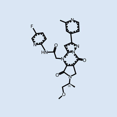 COC[C@H](C)N1Cc2c(n(CC(=O)Nc3ccc(F)cn3)c3cc(-c4ccnc(C)c4)nn3c2=O)C1=O